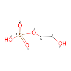 O=S(=O)(O)OCCO